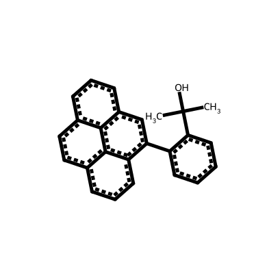 CC(C)(O)c1ccccc1-c1cc2cccc3ccc4cccc1c4c32